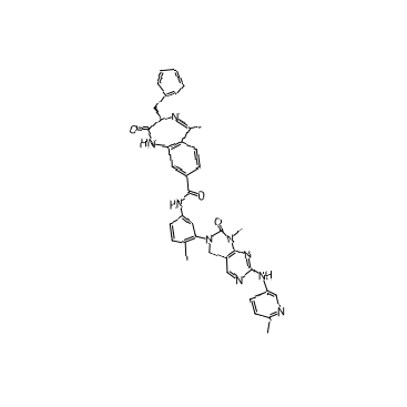 CC1=N[C@H](Cc2ccccc2)C(=O)Nc2cc(C(=O)Nc3ccc(C)c(N4Cc5cnc(Nc6ccc(C)nc6)nc5N(C)C4=O)c3)ccc21